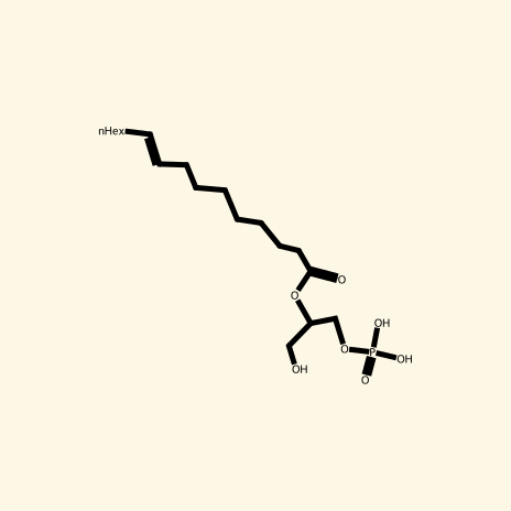 CCCCCCC=CCCCCCCCC(=O)OC(CO)COP(=O)(O)O